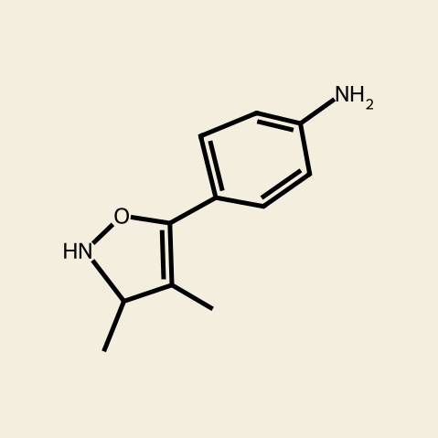 CC1=C(c2ccc(N)cc2)ONC1C